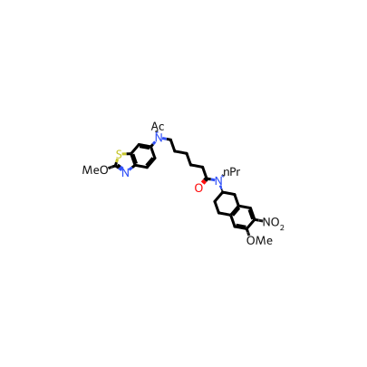 CCCN(C(=O)CCCCCN(C(C)=O)c1ccc2nc(OC)sc2c1)[C@@H]1CCc2cc(OC)c([N+](=O)[O-])cc2C1